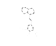 COc1cc(/C=C/c2cccc3ccccc23)cc(OC)c1OC